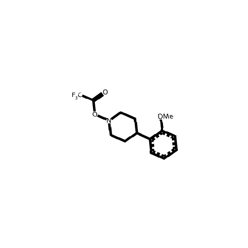 COc1ccccc1C1CCN(OC(=O)C(F)(F)F)CC1